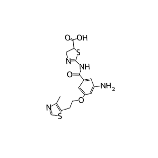 Cc1ncsc1CCOc1cc(N)cc(C(=O)NC2=NCC(C(=O)O)S2)c1